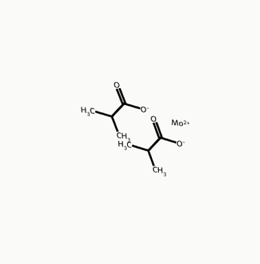 CC(C)C(=O)[O-].CC(C)C(=O)[O-].[Mo+2]